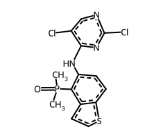 CP(C)(=O)c1c(Nc2nc(Cl)ncc2Cl)ccc2sccc12